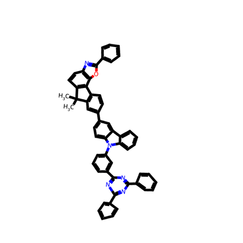 CC1(C)c2cc(-c3ccc4c(c3)c3ccccc3n4-c3cccc(-c4nc(-c5ccccc5)nc(-c5ccccc5)n4)c3)ccc2-c2c1ccc1nc(-c3ccccc3)oc21